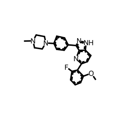 COc1cccc(F)c1-c1ccc2[nH]nc(-c3ccc(N4CCN(C)CC4)cc3)c2n1